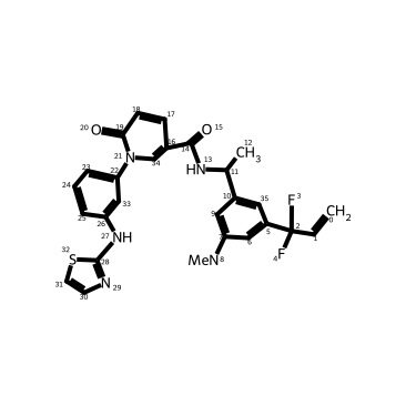 C=CC(F)(F)c1cc(NC)cc(C(C)NC(=O)c2ccc(=O)n(-c3cccc(Nc4nccs4)c3)c2)c1